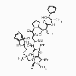 CC[C@H](C)[C@@H]([C@@H](CC(=O)N1CCC[C@H]1[C@H](OC)[C@@H](C)C(=O)N[C@H](C)[C@@H](O)c1ccccc1)OC)N(C)C(=O)[C@@H](NC(=O)[C@H](C(C)C)N(C)C(=O)OCC(C)(C)SSc1nc2cncnc2[nH]1)C(C)C